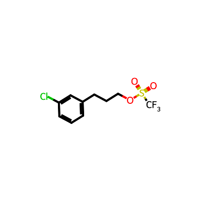 O=S(=O)(OCCCc1cccc(Cl)c1)C(F)(F)F